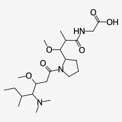 CCC(C)C(C(CC(=O)N1CCCC1C(OC)C(C)C(=O)NCC(=O)O)OC)N(C)C